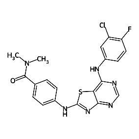 CN(C)C(=O)c1ccc(Nc2nc3ncnc(Nc4ccc(F)c(Cl)c4)c3s2)cc1